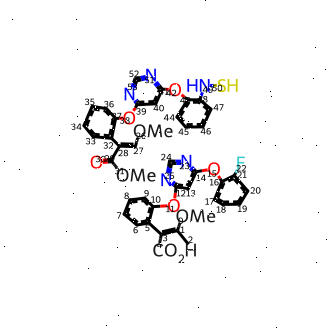 CO/C(C)=C(/C(=O)O)c1ccccc1Oc1cc(Oc2ccccc2F)ncn1.CO/C=C(/C(=O)OC)c1ccccc1Oc1cc(Oc2ccccc2NS)ncn1